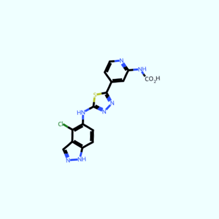 O=C(O)Nc1cc(-c2nnc(Nc3ccc4[nH]ncc4c3Cl)s2)ccn1